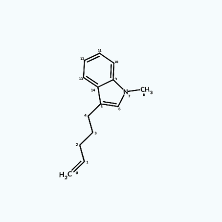 C=CCCCc1cn(C)c2ccccc12